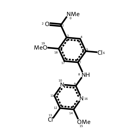 CNC(=O)c1cc(Cl)c(Nc2ncc(Cl)c(OC)n2)cc1OC